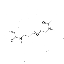 C=CC(=O)N(C)CCCOCCN(C)C(C)=O